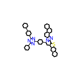 c1ccc(-c2ccc(-c3nc(-c4ccccc4)nc(-c4ccc(-c5cc6c7cc8ccccc8cc7sc6c6nc7c8ccc9ccccc9c8ccc7n56)cc4)n3)cc2)cc1